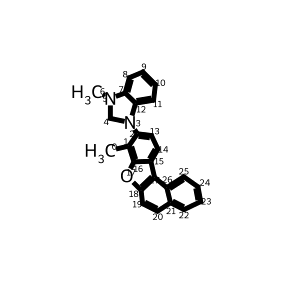 Cc1c(N2CN(C)c3ccccc32)ccc2c1oc1ccc3ccccc3c12